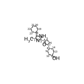 Cc1nc(-c2ccc(-c3ccc(O)cc3)o2)[nH]c1-c1ccccc1